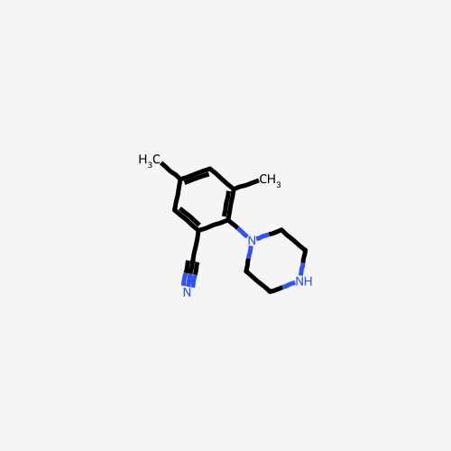 Cc1cc(C)c(N2CCNCC2)c(C#N)c1